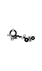 CCn1nc(CCCOC(=O)c2cccc(S(=O)(=O)C3CCCC3)c2)c2c1C(=O)NCCCOCCC2